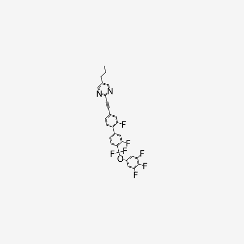 CCCc1cnc(C#Cc2ccc(-c3ccc(C(F)(F)Oc4cc(F)c(F)c(F)c4)c(F)c3)c(F)c2)nc1